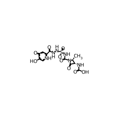 C[C@H]1[C@H](NC(=O)O)C(=O)N1C(=O)NS(=O)(=O)NNC(=O)c1cc(=O)c(O)c[nH]1